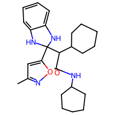 Cc1cc(C2(C(C(=O)NC3CCCCC3)C3CCCCC3)Nc3ccccc3N2)on1